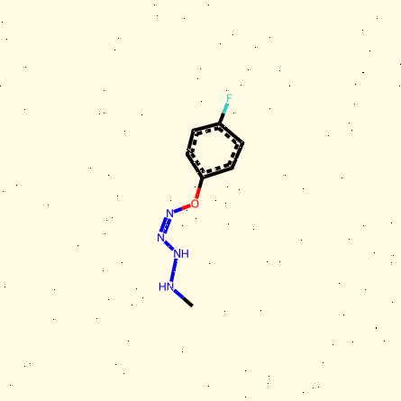 CNN/N=N\Oc1ccc(F)cc1